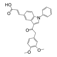 COc1ccc(CC(=O)c2cn(-c3ccccc3)c3ccc(C=CC(=O)O)cc23)cc1OC